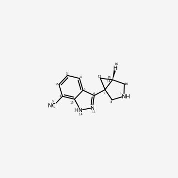 N#Cc1cccc2c(C34CNC[C@H]3C4)n[nH]c12